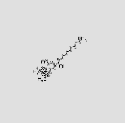 CCCCCCCCCCC=C(O)N(CCC[Si](OC)(OC)OC)CCN=O